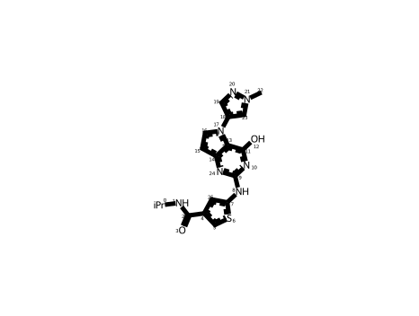 CC(C)NC(=O)c1csc(Nc2nc(O)c3c(ccn3-c3cnn(C)c3)n2)c1